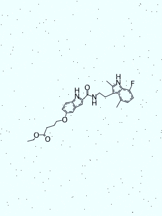 CCOC(=O)CCCOc1ccc2[nH]c(C(=O)NCCc3c(C)[nH]c4c(F)ccc(C)c34)cc2c1